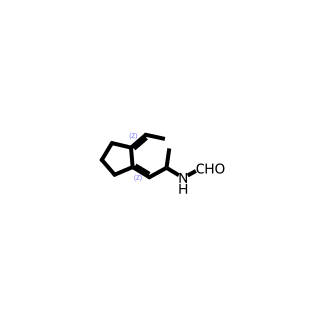 C/C=C1/CCC/C1=C/C(C)NC=O